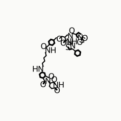 CS(=O)(=O)n1ccc(C(=O)NCC(COCc2ccc(C(=O)NCCCCCCNc3ccc4c(c3)C(=O)N(C3CCC(=O)NC3=O)C4=O)cc2)C(=O)Nc2nc(-c3ccccc3)cs2)c1